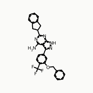 Nc1nc(C2Cc3ccccc3C2)nc2[nH]nc(-c3ccc(C(F)(F)F)c(OCc4ccccc4)c3)c12